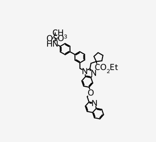 CCOC(=O)C1(Cc2nc3cc(OCc4ccc5ccccc5n4)ccc3n2Cc2cccc(-c3ccc(NS(C)(=O)=O)cc3)c2)CCCC1